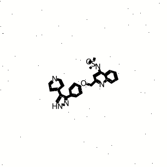 CS(C)(=O)=Nc1cc(COc2ccc(-c3n[nH]cc3-c3ccncc3)cc2)nc2ccccc12